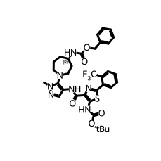 Cn1ncc(NC(=O)c2nc(-c3ccccc3C(F)(F)F)sc2NC(=O)OC(C)(C)C)c1N1CCC[C@@H](NC(=O)OCc2ccccc2)CC1